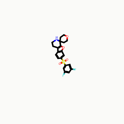 O=S(=O)(c1cc(F)cc(F)c1)c1ccc2c3c(oc2c1)C1(CCOCC1)NCC3